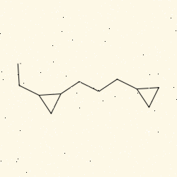 [CH2]CC1CC1CCCC1CC1